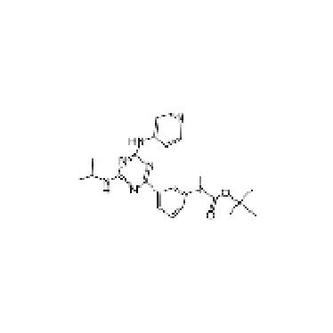 CC(C)Nc1nc(Nc2ccncc2)nc(-c2cccc(NC(=O)OC(C)(C)C)c2)n1